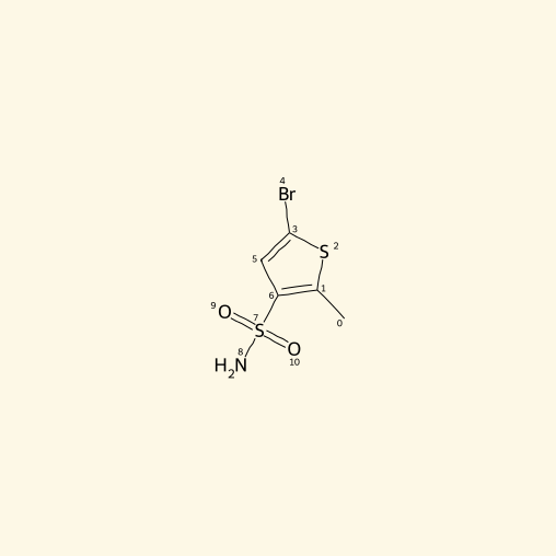 Cc1sc(Br)cc1S(N)(=O)=O